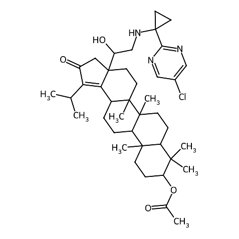 CC(=O)OC1CCC2(C)C(CCC3(C)C2CCC2C4=C(C(C)C)C(=O)CC4(C(O)CNC4(c5ncc(Cl)cn5)CC4)CCC23C)C1(C)C